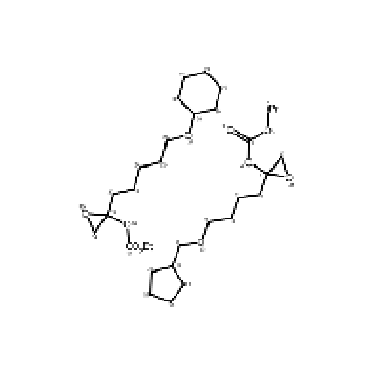 CC(C)OC(=O)OC1(CCCCOCC2CCCC2)CO1.CCOC(=O)OC1(CCCCCOC2CCCCC2)CO1